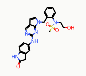 CS(=O)(=O)N(CCO)c1ccccc1Cn1ccc2cnc(Nc3ccc4c(c3)CC(=O)N4)nc21